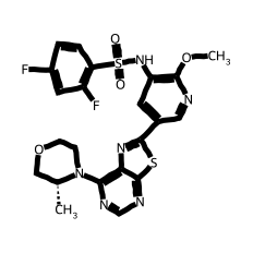 COc1ncc(-c2nc3c(N4CCOC[C@H]4C)ncnc3s2)cc1NS(=O)(=O)c1ccc(F)cc1F